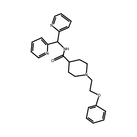 O=C(NC(c1ccccn1)c1ccccn1)C1CCN(CCOc2ccccc2)CC1